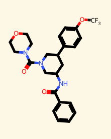 O=C(NC1CC(c2ccc(OC(F)(F)F)cc2)CN(C(=O)N2CCOCC2)C1)c1ccccc1